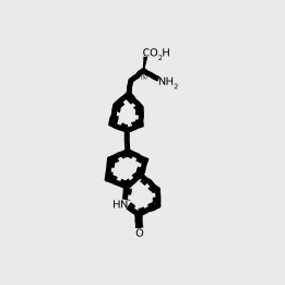 N[C@@H](Cc1ccc(-c2ccc3[nH]c(=O)ccc3c2)cc1)C(=O)O